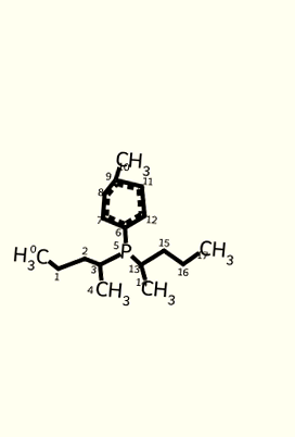 CCCC(C)P(c1ccc(C)cc1)C(C)CCC